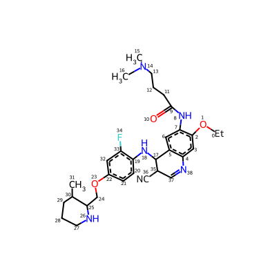 CCOc1cc2c(cc1NC(=O)CCCN(C)C)C(Nc1ccc(OCC3NCCCC3C)cc1F)C(C#N)C=N2